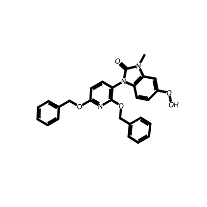 Cn1c(=O)n(-c2ccc(OCc3ccccc3)nc2OCc2ccccc2)c2ccc(OO)cc21